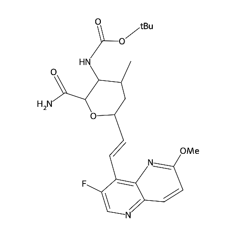 COc1ccc2ncc(F)c(C=CC3CC(C)C(NC(=O)OC(C)(C)C)C(C(N)=O)O3)c2n1